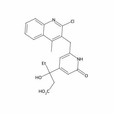 CCC(O)(CC(=O)O)c1cc(Cc2c(Cl)nc3ccccc3c2C)[nH]c(=O)c1